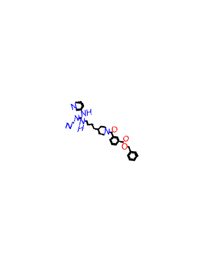 N#C/N=C(\NCCCCC1CCN(C(=O)c2cccc(C(=O)OCc3ccccc3)c2)CC1)Nc1cccnc1